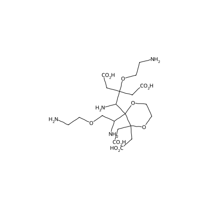 NCCOCC(N)C1(C(N)C(CC(=O)O)(CC(=O)O)OCCN)OCCOC1(CC(=O)O)CC(=O)O